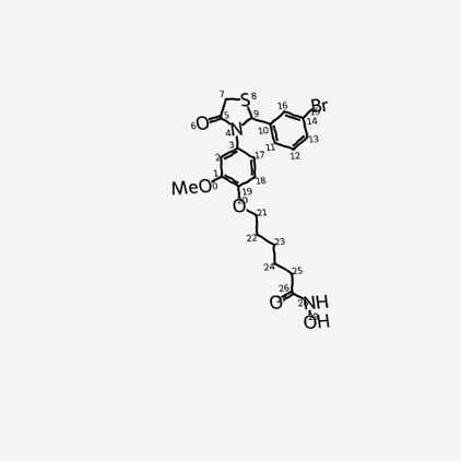 COc1cc(N2C(=O)CSC2c2cccc(Br)c2)ccc1OCCCCCC(=O)NO